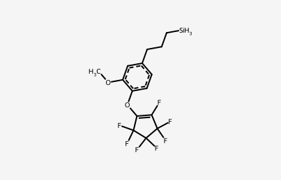 COc1cc(CCC[SiH3])ccc1OC1=C(F)C(F)(F)C(F)(F)C1(F)F